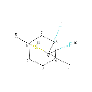 CC12CCC(C)(CC1)C(F)(F)S2